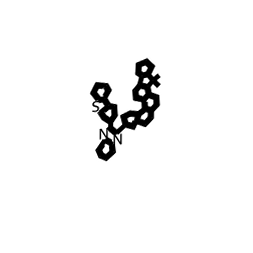 CC1(C)c2ccccc2-c2ccc3c(ccc4ccc5cc(-c6nc7ccccc7nc6-c6ccc7c(c6)sc6ccccc67)ccc5c43)c21